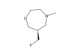 CN1CCOC[C@H](CF)C1